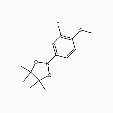 CSc1ccc(B2OC(C)(C)C(C)(C)O2)cc1F